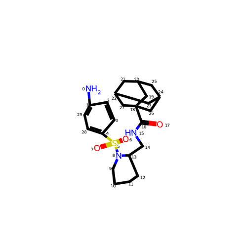 Nc1ccc(S(=O)(=O)N2CCCCC2CNC(=O)C23CC4CC(CC(C4)C2)C3)cc1